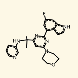 CC(C)(Nc1cccnc1)c1cc(N2CCOCC2)nc(-c2cc(F)cc3[nH]ccc23)n1